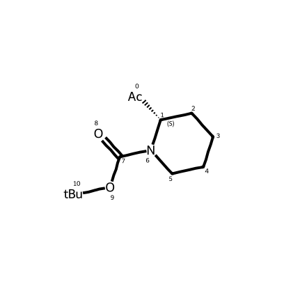 CC(=O)[C@@H]1CCCCN1C(=O)OC(C)(C)C